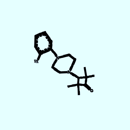 CCc1ccccc1N1CCN(C2C(C)(C)C(=O)C2(C)C)CC1